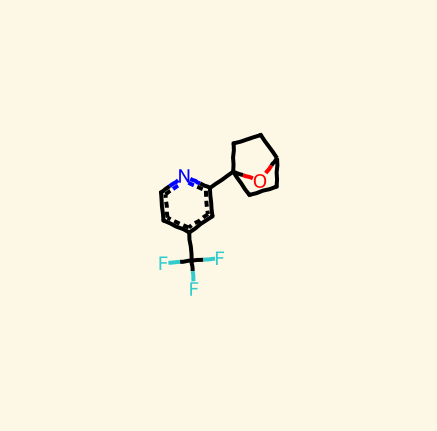 FC(F)(F)c1ccnc(C23CCC(CC2)O3)c1